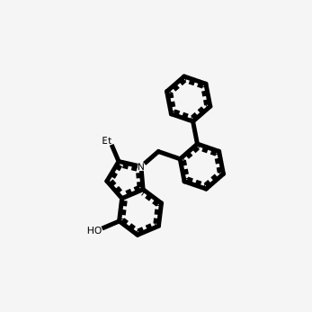 CCc1cc2c(O)cccc2n1Cc1ccccc1-c1ccccc1